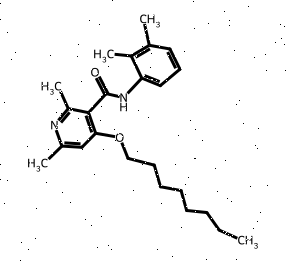 CCCCCCCCOc1cc(C)nc(C)c1C(=O)Nc1cccc(C)c1C